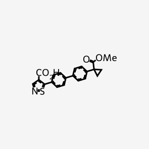 COC(=O)C1(c2ccc(-c3ccc(-c4sncc4C(=O)O)cc3)cc2)CC1